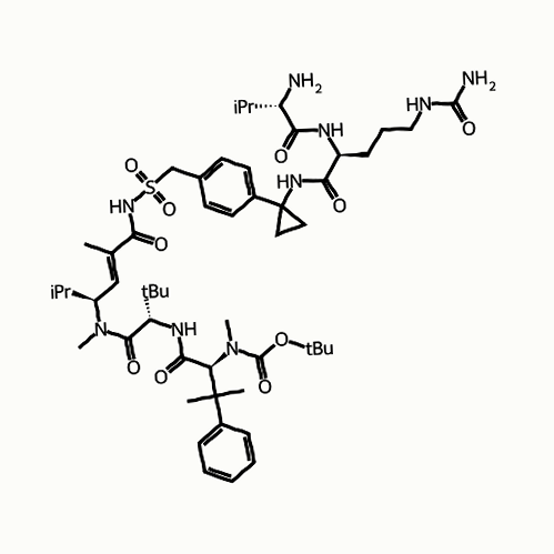 C/C(=C\[C@H](C(C)C)N(C)C(=O)[C@@H](NC(=O)[C@@H](N(C)C(=O)OC(C)(C)C)C(C)(C)c1ccccc1)C(C)(C)C)C(=O)NS(=O)(=O)Cc1ccc(C2(NC(=O)[C@H](CCCNC(N)=O)NC(=O)[C@@H](N)C(C)C)CC2)cc1